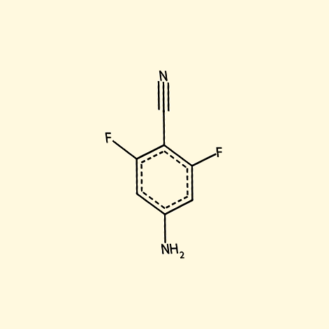 N#Cc1c(F)cc(N)cc1F